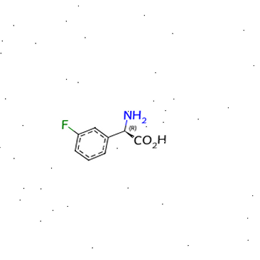 N[C@@H](C(=O)O)c1cccc(F)c1